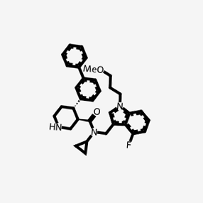 COCCCn1cc(CN(C(=O)[C@H]2CNCC[C@@H]2c2cccc(-c3ccccc3)c2)C2CC2)c2c(F)cccc21